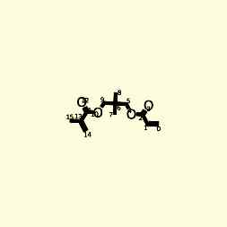 C=CC(=O)OCC(C)(C)COC(=O)C(=C)C